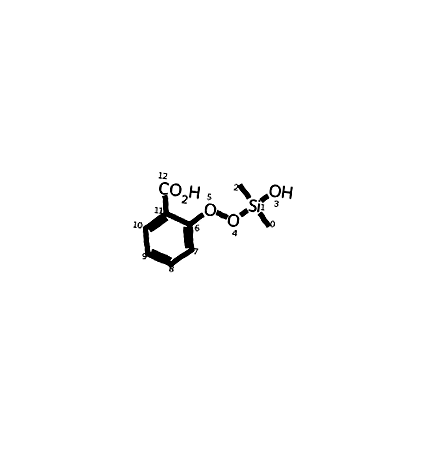 C[Si](C)(O)OOc1ccccc1C(=O)O